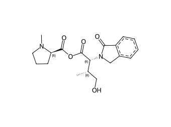 C[C@@H](CO)[C@H](C(=O)OC(=O)[C@H]1CCCN1C)N1Cc2ccccc2C1=O